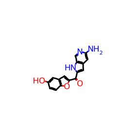 Nc1cc2cc(C(=O)c3cc4cc(O)ccc4o3)[nH]c2cn1